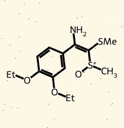 CCOc1ccc(C(N)=C(SC)[S+](C)[O-])cc1OCC